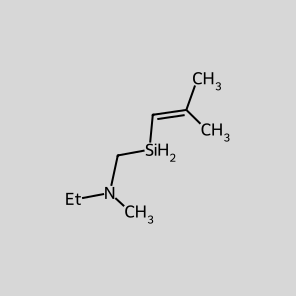 CCN(C)C[SiH2]C=C(C)C